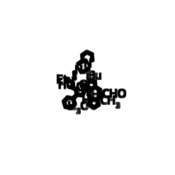 CCC(C)C1=CC2CC(C)(C=O)[C@@H]3CC[C@@H](C)[C@H]3CC2(C2CC(C3CCCCC3)C(CN(CC)CCN3CCN4CCCCC4C3)O2)[C@@H]1C(=O)O